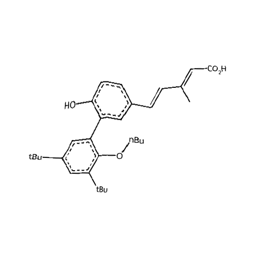 CCCCOc1c(-c2cc(/C=C/C(C)=C/C(=O)O)ccc2O)cc(C(C)(C)C)cc1C(C)(C)C